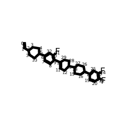 C=CC1CCC(c2ccc(C3=CCC(C4CCC(c5ccc(F)c(F)c5)CC4)CC3)c(F)c2)CC1